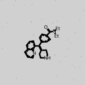 CCN(CC)C(=O)c1ccc(C(=C2CCNCC2)c2cccc3cccnc23)cc1